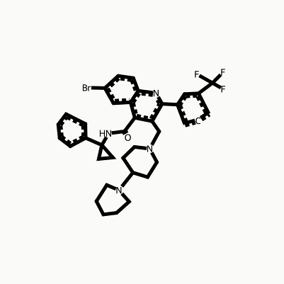 O=C(NC1(c2ccccc2)CC1)c1c(CN2CCC(N3CCCCC3)CC2)c(-c2cccc(C(F)(F)F)c2)nc2ccc(Br)cc12